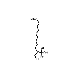 CCCCCCCCCCCCCCCCCCP(CC(C)C)C(O)(O)CC